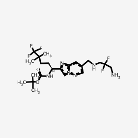 CC(C)(C)OC(=O)N[C@@H](CCC(C)(C)C(F)(F)F)c1cn2ncc(CNCC(F)(F)CN)cc2n1